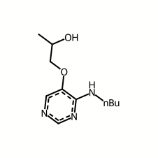 CCCCNc1ncncc1OCC(C)O